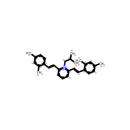 Cc1ccc(/C=C/c2cccc(/C=C/c3ccc(C)cc3C)[n+]2CC(C)C)c(C)c1